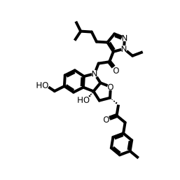 CCn1ncc(CCC(C)C)c1C(=O)CN1c2ccc(CO)cc2[C@]2(O)C[C@@H](CC(=O)Cc3cccc(C)c3)OC12